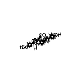 CC(C)(C)c1ccc(C(=O)NC(Cc2ccc(-c3ncc(-c4ccc(O)cc4)cn3)cc2)C(=O)NCCC(=O)O)cc1